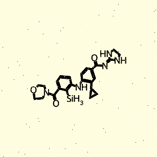 O=C(N=C1NCCN1)c1ccc(Nc2cccc(C(=O)N3CCOCC3)c2[SiH3])c(C2CC2)c1